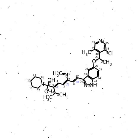 C=NC(=C\C=C(/C(C)C)C(O)(O)N1CCCCC1)/C=C/c1n[nH]c2ccc(OC(C)c3c(C)cncc3Cl)cc12